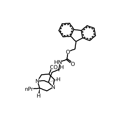 CCC[C@H]1CN2CC(C(=O)O)CN1C[C@H]2CCNC(=O)OCC1c2ccccc2-c2ccccc21